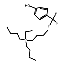 CCCC[P](CC)(CCCC)CCCC.Oc1ccc(C(F)(F)F)cc1